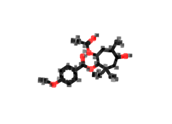 COc1ccc(C(=O)OC2C(OC(C)=O)C=C(C)C(=O)CC2(C)C)cc1